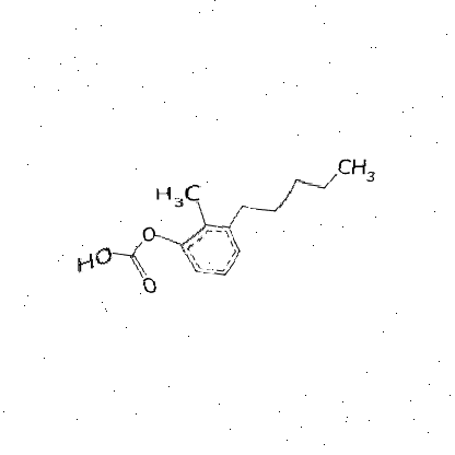 CCCCCc1cccc(OC(=O)O)c1C